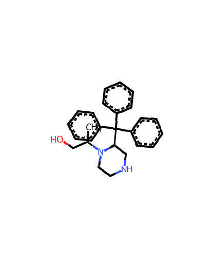 CC(CO)N1CCNCC1C(c1ccccc1)(c1ccccc1)c1ccccc1